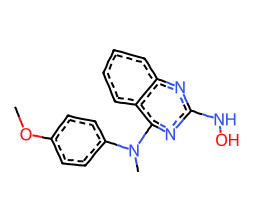 COc1ccc(N(C)c2nc(NO)nc3ccccc23)cc1